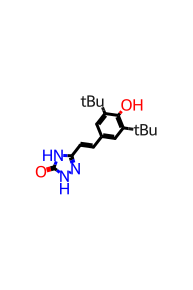 CC(C)(C)c1cc(C=Cc2n[nH]c(=O)[nH]2)cc(C(C)(C)C)c1O